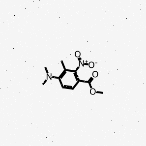 COC(=O)c1ccc(N(C)C)c(C)c1[N+](=O)[O-]